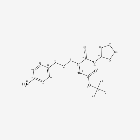 CC(C)(C)OC(=O)NC(CCCc1ccc(N)cc1)C(=O)OC1CCCC1